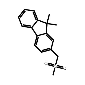 CC1(C)c2ccccc2-c2ccc(CS(C)(=O)=O)cc21